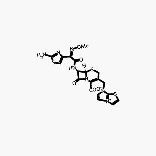 CO/N=C(\C(=O)N[C@@H]1C(=O)N2C(C(=O)[O-])=C(Cn3cc[n+]4ccsc34)CS[C@H]12)c1csc(N)n1